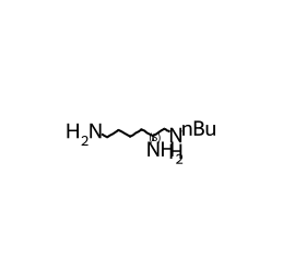 CCCCNC[C@@H](N)CCCCN